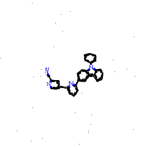 N#Cc1cc(-c2cccc(-c3ccc4c(c3)c3ccccc3n4-c3ccccc3)n2)ccn1